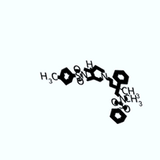 Cc1ccc(S(=O)(=O)N2CC3CN(CC[C@](C)(CN(C)S(=O)(=O)c4ccccc4)c4ccccc4)CC[C@H]3C2)cc1